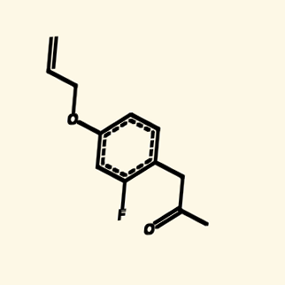 C=CCOc1ccc(CC(C)=O)c(F)c1